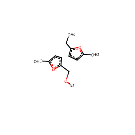 CC(=O)OCc1ccc(C=O)o1.CCOCc1ccc(C=O)o1